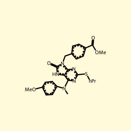 CCCSc1nc(N(C)c2ccc(OC)cc2)c2[nH]c(=O)n(Cc3ccc(C(=O)OC)cc3)c2n1